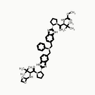 COC(=O)N[C@H](C(=O)N1CCC[C@H]1c1nc2ccc(CN(Cc3ccc4[nH]c([C@@H]5CCCN5C(=O)[C@@H](NC5OCO5)C(C)(C)C)nc4c3)c3ccccc3)cc2[nH]1)C(C)(C)C